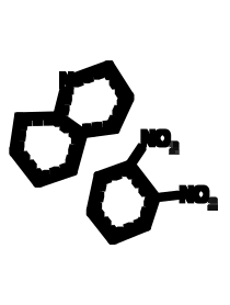 O=[N+]([O-])c1ccccc1[N+](=O)[O-].c1ccc2ncccc2c1